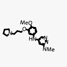 CNc1cc(Nc2ccc(OC)c(OCCCN3CCCC3)c2)cnn1